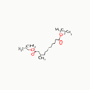 CC(C)COC(=O)CCCCCCCCC(C)CC(=O)OCC(C)C